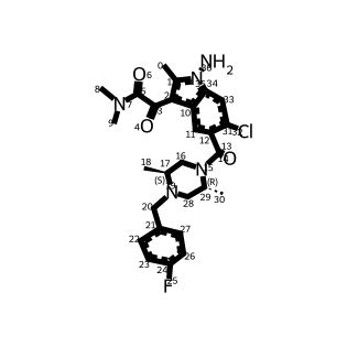 Cc1c(C(=O)C(=O)N(C)C)c2cc(C(=O)N3C[C@H](C)N(Cc4ccc(F)cc4)C[C@H]3C)c(Cl)cc2n1N